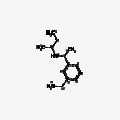 CCC(C)NC(C)c1cccc(CN)c1